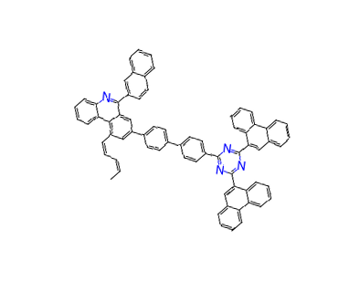 C/C=C\C=C/c1cc(-c2ccc(-c3ccc(-c4nc(-c5cc6ccccc6c6ccccc56)nc(-c5cc6ccccc6c6ccccc56)n4)cc3)cc2)cc2c(-c3ccc4ccccc4c3)nc3ccccc3c12